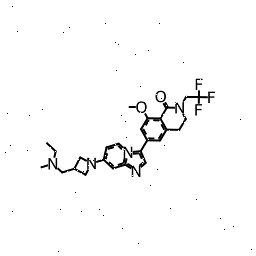 CCN(C)CC1CN(c2ccn3c(-c4cc5c(c(OC)c4)C(=O)N(CC(F)(F)F)CC5)cnc3c2)C1